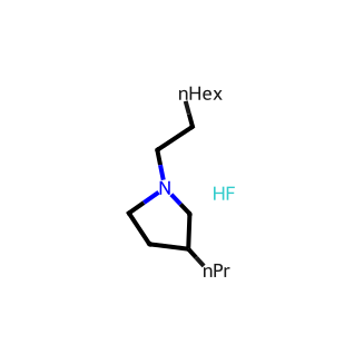 CCCCCCCCN1CCC(CCC)C1.F